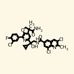 Cc1nc2c(Cl)cc(C(=O)NCC(O)(c3cc4c(c(-c5ccc(F)c(Cl)c5)n3)OC[C@]4(C)C(N)=O)C3CC3)cc2cc1Cl